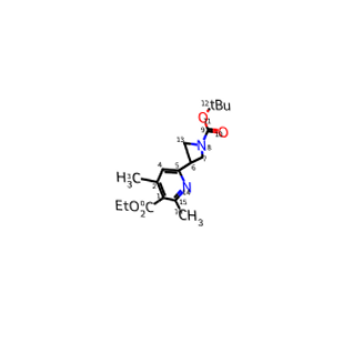 CCOC(=O)c1c(C)cc(C2CN(C(=O)OC(C)(C)C)C2)nc1C